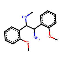 CNC(c1ccccc1OC)C(N)c1ccccc1OC